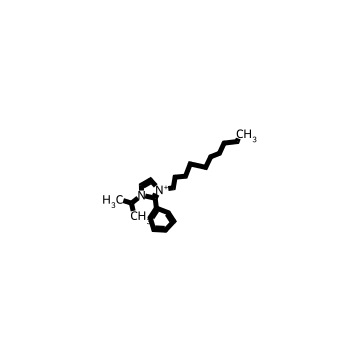 CCCCCCCCCC[n+]1ccn(C(C)C)c1-c1ccccc1